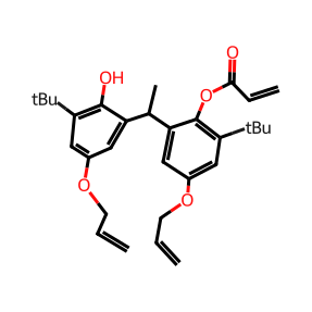 C=CCOc1cc(C(C)c2cc(OCC=C)cc(C(C)(C)C)c2OC(=O)C=C)c(O)c(C(C)(C)C)c1